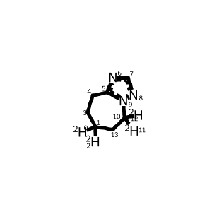 [2H]C1([2H])CCc2ncnn2C([2H])([2H])C1